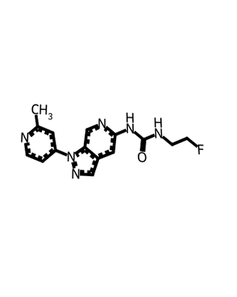 Cc1cc(-n2ncc3cc(NC(=O)NCCF)ncc32)ccn1